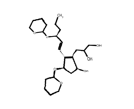 CCC[C@@H](/C=C/[C@@H]1[C@@H](CC(O)CO)[C@@H](O)C[C@H]1OC1CCCCO1)OC1CCCCO1